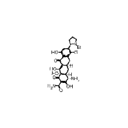 CCN1CCCC1c1cc(O)c2c(c1Cl)C[C@H]1C[C@H]3[C@H](N)C(O)=C(C(N)=O)C(=O)[C@@]3(O)C(O)=C1C2=O